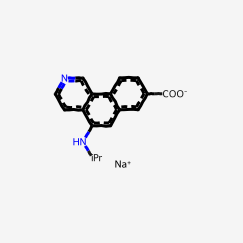 CC(C)Nc1cc2cc(C(=O)[O-])ccc2c2cnccc12.[Na+]